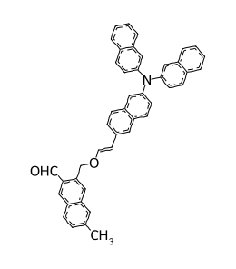 Cc1ccc2cc(C=O)c(COC=Cc3ccc4cc(N(c5ccc6ccccc6c5)c5ccc6ccccc6c5)ccc4c3)cc2c1